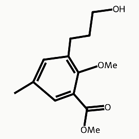 COC(=O)c1cc(C)cc(CCCO)c1OC